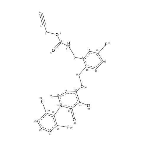 C#CCOC(=O)NCc1cc(F)ccc1COc1cc(C)n(-c2c(F)cccc2F)c(=O)c1Cl